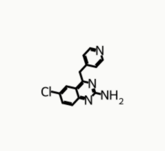 Nc1nc(Cc2ccncc2)c2cc(Cl)ccc2n1